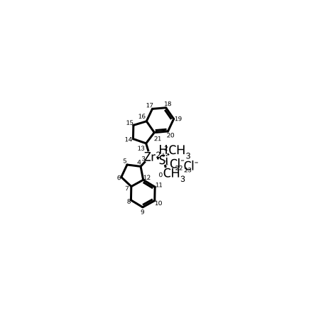 C[SiH](C)[Zr+2]([CH]1CCC2CC=CC=C21)[CH]1CCC2CC=CC=C21.[Cl-].[Cl-]